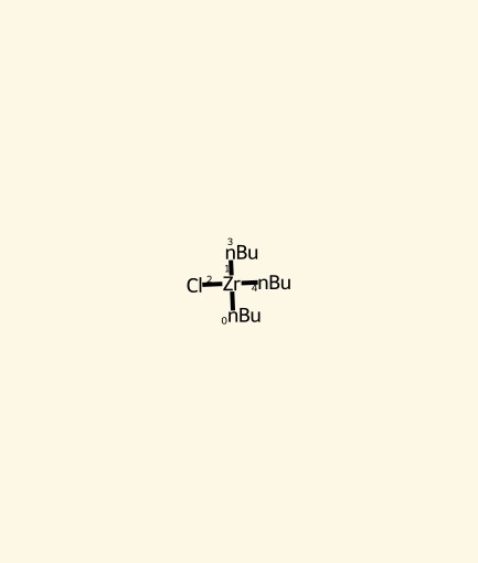 CCC[CH2][Zr]([Cl])([CH2]CCC)[CH2]CCC